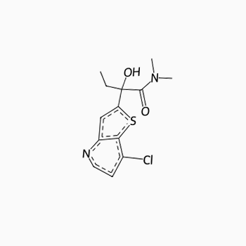 CCC(O)(C(=O)N(C)C)c1cc2nccc(Cl)c2s1